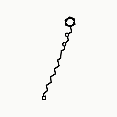 ClCCCCCCCCCCCCOCOCc1ccccc1